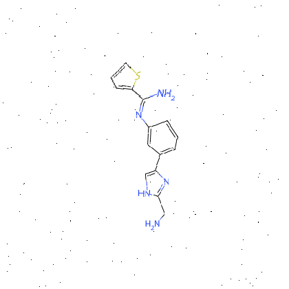 NCc1nc(-c2cccc(/N=C(\N)c3cccs3)c2)c[nH]1